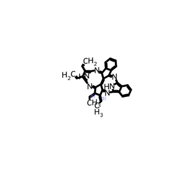 C=Cc1c(C=C)c2nc3c4c(nc5[nH]c(nc6c4c(nc1[nH]2)C(=C/C)/C6=C\C)c1ccccc51)-c1ccccc1-3